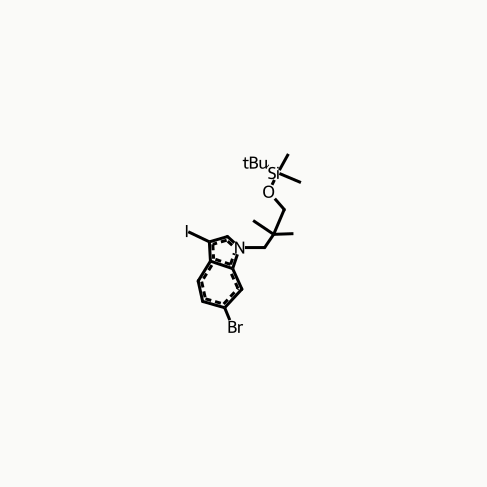 CC(C)(CO[Si](C)(C)C(C)(C)C)Cn1cc(I)c2ccc(Br)cc21